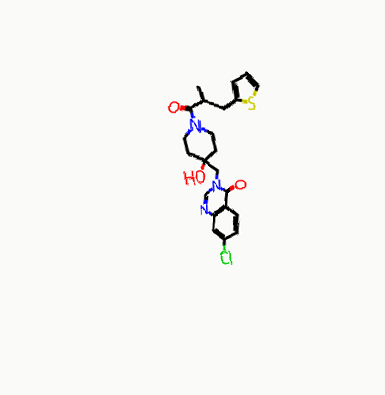 CC(Cc1cccs1)C(=O)N1CCC(O)(Cn2cnc3cc(Cl)ccc3c2=O)CC1